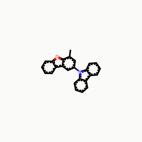 Cc1cc(-n2c3ccccc3c3ccccc32)cc2c1oc1ccccc12